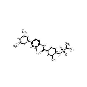 CC1CC(C(=O)Nc2ccc(N3C[C@@H](C)O[C@@H](C)C3)cc2F)CCC1NS(=O)(=O)C(C)C